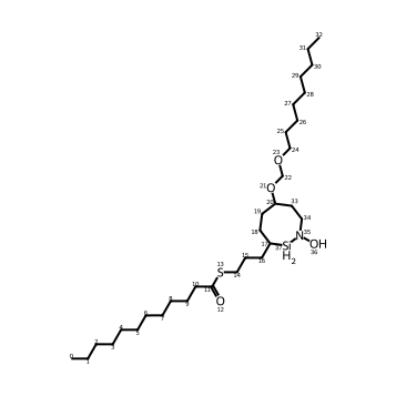 CCCCCCCCCCCC(=O)SCCCC1CCC(OCOCCCCCCCCC)CCN(O)[SiH2]1